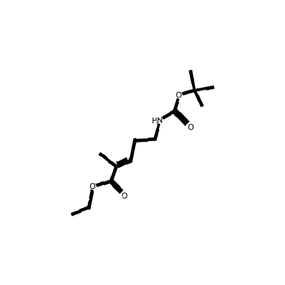 CCOC(=O)/C(C)=C/CCNC(=O)OC(C)(C)C